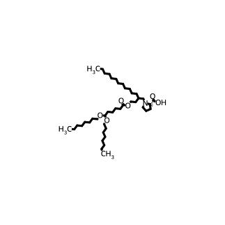 CCCCCCCCCCCCC(CCOC(=O)CCCCC(OCCCCCCCC)OCCCCCCCC)CN1CCC[C@H]1C(=O)O